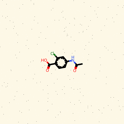 CC(=O)Nc1ccc(C(=O)O)c(Cl)c1